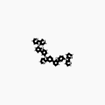 c1cc(-c2ccc3c(c2)c2ncccc2n3-c2ccc3oc4c(-n5c6ccncc6c6ncccc65)cccc4c3c2)c2oc3ccc(-n4c5cccnc5c5ncccc54)cc3c2c1